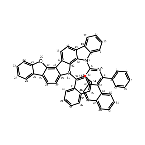 c1ccc(-c2nc(-n3c4ccccc4c4ccc5c6c7oc8ccccc8c7ccc6n(-c6cccc7ccccc67)c5c43)nc3ccc4ccccc4c23)cc1